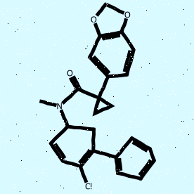 CN(C(=O)C1(c2ccc3c(c2)OCO3)CC1)C1C=CC(Cl)=C(c2ccccc2)C1